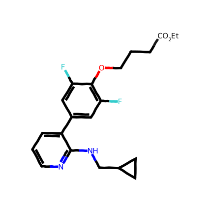 CCOC(=O)CCCOc1c(F)cc(-c2cccnc2NCC2CC2)cc1F